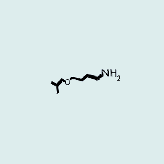 CC(C)=COCCC=CN